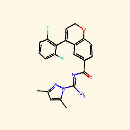 Cc1cc(C)n(/C(N)=N/C(=O)c2ccc3c(c2)C(c2c(F)cccc2F)=CCO3)n1